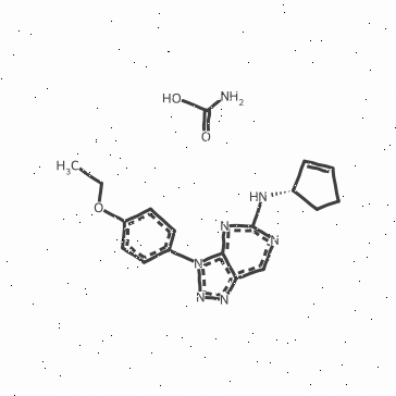 CCOc1ccc(-n2nnc3cnc(N[C@@H]4C=CCC4)nc32)cc1.NC(=O)O